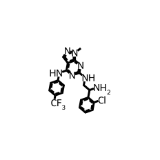 Cn1ncc2c(Nc3ccc(C(F)(F)F)cc3)nc(NCC(N)c3ccccc3Cl)nc21